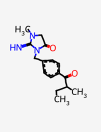 CCC(C)C(=O)c1ccc(CN2C(=N)N(C)CC2=O)cc1